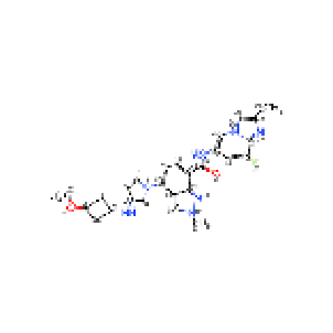 CO[C@H]1C[C@H](N[C@H]2CCN(c3ccc(C(=O)Nc4cc(F)c5nc(C)cn5c4)c4nn(C)cc34)C2)C1